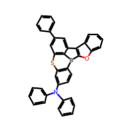 c1ccc(-c2cc3c4c(c2)-c2c(oc5ccccc25)B4c2ccc(N(c4ccccc4)c4ccccc4)cc2S3)cc1